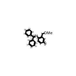 COCc1cc(F)ccc1N=C(c1ccccc1)c1ccccc1